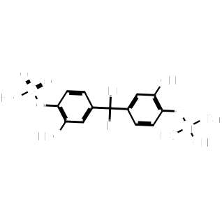 CCC(CC)(c1ccc(O[Si](C)(C)C(C)(C)C)c(C)c1)c1ccc(OS(=O)(=O)C(F)(F)F)c(C)c1